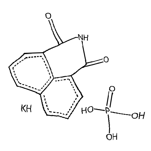 O=C1NC(=O)c2cccc3cccc1c23.O=P(O)(O)O.[KH]